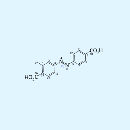 Cc1cc(/N=N/c2ccc(C(=O)O)cc2)ccc1C(=O)O